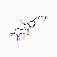 O=C(O)Cc1ccc2c(c1)C(=O)N(C1CCC(=O)NC1O)C2=O